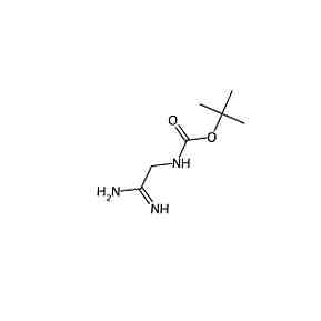 CC(C)(C)OC(=O)NCC(=N)N